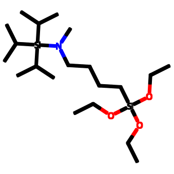 CCO[Si](CCCCN(C)[Si](C(C)C)(C(C)C)C(C)C)(OCC)OCC